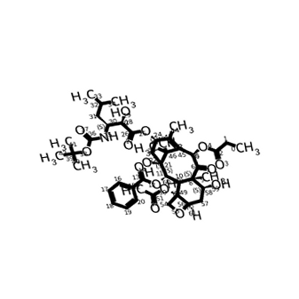 CCC(=O)O[C@H]1C(=O)[C@@]2(C)[C@H]([C@H](OC(=O)c3ccccc3)[C@]3(O)C[C@H](OC(=O)[C@H](O)[C@H](CC(C)C)NC(=O)OC(C)(C)C)C(C)=C1C3(C)C)[C@]1(OC(C)=O)CO[C@@H]1C[C@@H]2O